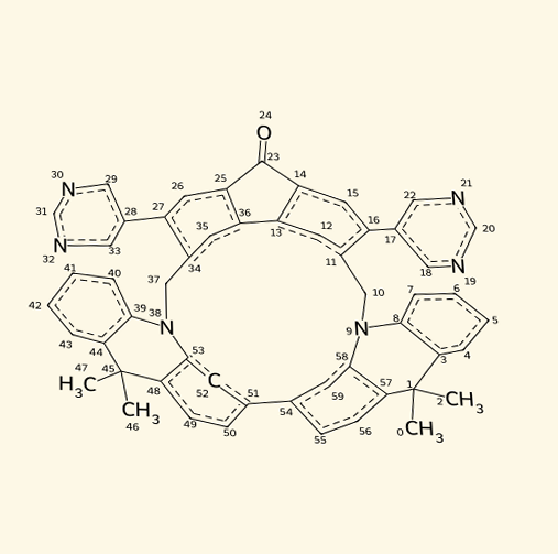 CC1(C)c2ccccc2N2Cc3cc4c(cc3-c3cncnc3)C(=O)c3cc(-c5cncnc5)c(cc3-4)CN3c4ccccc4C(C)(C)c4ccc(cc43)-c3ccc1c2c3